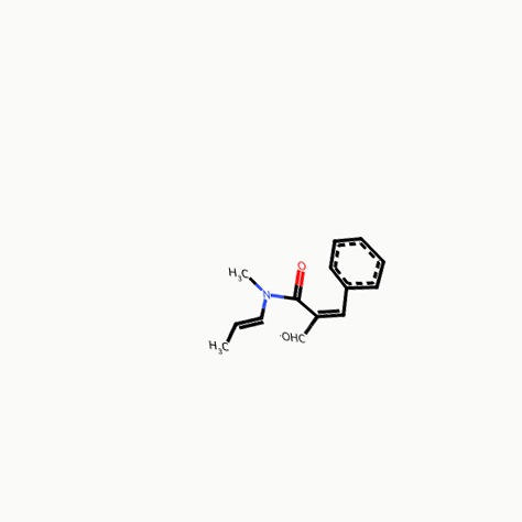 CC=CN(C)C(=O)C([C]=O)=Cc1ccccc1